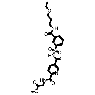 CCOCCCNC(=O)c1cccc(S(=O)(=O)NC(=O)c2ccc(C(=O)NCC(=O)OC)nc2)c1